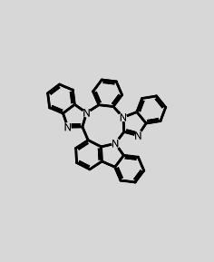 c1ccc2c(c1)nc1c3cccc4c5ccccc5n(c43)c3nc4ccccc4n3c3ccccc3n21